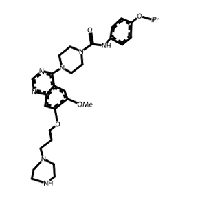 COc1cc2c(N3CCN(C(=O)Nc4ccc(OC(C)C)cc4)CC3)ncnc2cc1OCCCN1CCNCC1